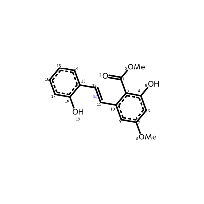 COC(=O)c1c(O)cc(OC)cc1/C=C/c1ccccc1O